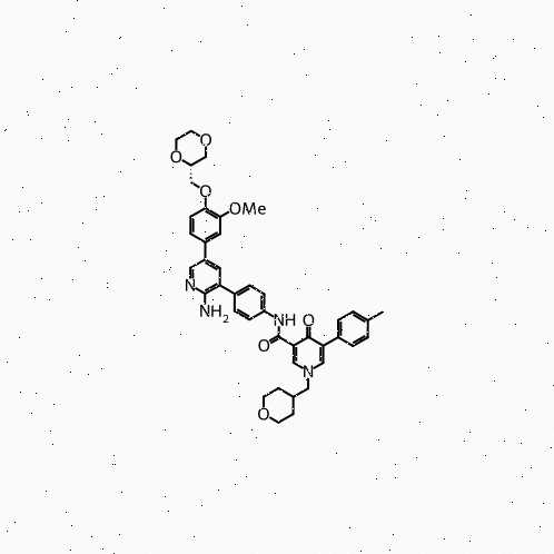 COc1cc(-c2cnc(N)c(-c3ccc(NC(=O)c4cn(CC5CCOCC5)cc(-c5ccc(C)cc5)c4=O)cc3)c2)ccc1OC[C@H]1COCCO1